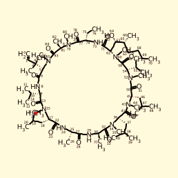 C=CC(C)(C)[C@H]1C(=O)N[C@@H](C(C)C)C(=O)N(C)[C@@H](CC(C)C)C(=O)N[C@@H](C)C(=O)N[C@H](C)C(=O)N(C)[C@@H](CC(C)C)C(=O)N(C)[C@@H](CC(C)C)C(=O)N(C)[C@@H](C(C)C)C(=O)N(C)[C@@H]([C@H](O)[C@H](C)CCCC)C(=O)N[C@@H](CC)C(=O)N(C)[C@H](C)C(=O)N1C